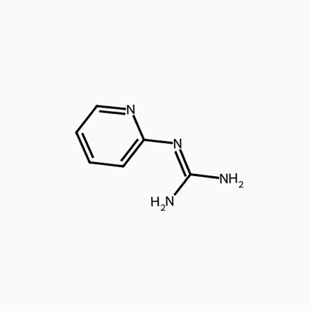 NC(N)=Nc1ccccn1